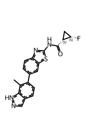 Cc1c(-c2ccc3nc(NC(=O)[C@@H]4C[C@@H]4F)sc3c2)ccc2cn[nH]c12